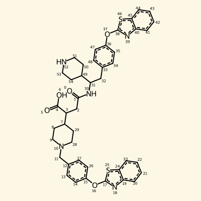 O=C(CC(C(=O)O)C1CCN(Cc2ccc(Oc3nc4ccccc4s3)cc2)CC1)NC(Cc1ccc(Oc2nc3ccccc3s2)cc1)C1CCNCC1